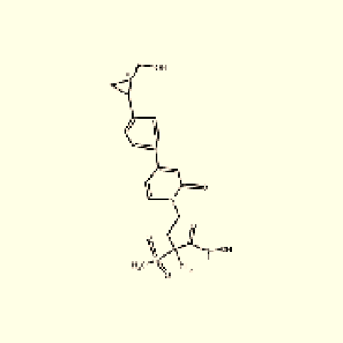 CC(CCn1ccc(-c2ccc(C3C[C@H]3CO)cc2)cc1=O)(C(=O)NO)S(C)(=O)=O